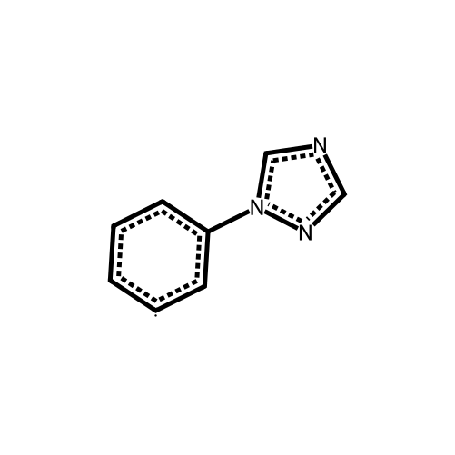 [c]1cccc(-n2cncn2)c1